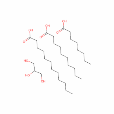 CCCCCCCC(=O)O.CCCCCCCCCC(=O)O.CCCCCCCCCCCC(=O)O.OCC(O)CO